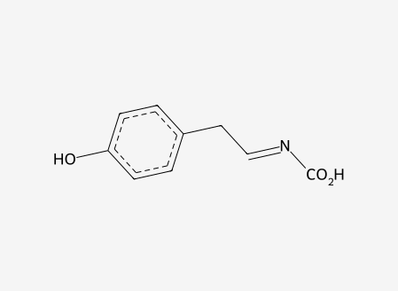 O=C(O)/N=C/Cc1ccc(O)cc1